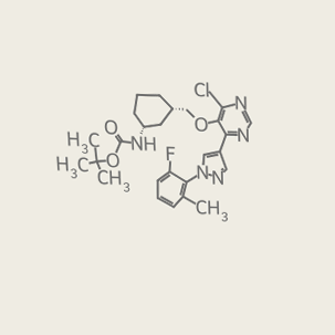 Cc1cccc(F)c1-n1cc(-c2ncnc(Cl)c2OC[C@H]2CCC[C@@H](NC(=O)OC(C)(C)C)C2)cn1